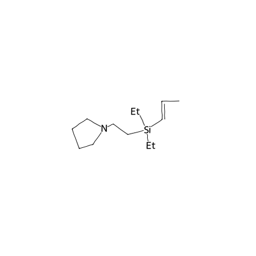 CC=C[Si](CC)(CC)CCN1CCCC1